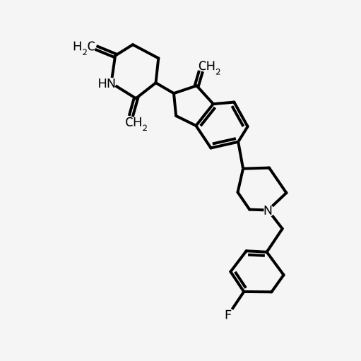 C=C1CCC(C2Cc3cc(C4CCN(CC5=CC=C(F)CC5)CC4)ccc3C2=C)C(=C)N1